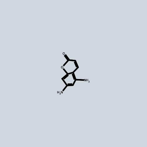 Nc1cc(N)c2ccc(=O)oc2c1